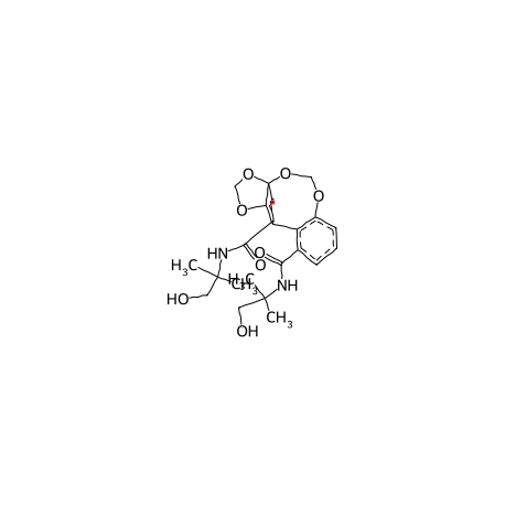 CC(C)(CO)NC(=O)c1cccc2c1C1=C3OCOC3(C=CC1C(=O)NC(C)(C)CO)OCO2